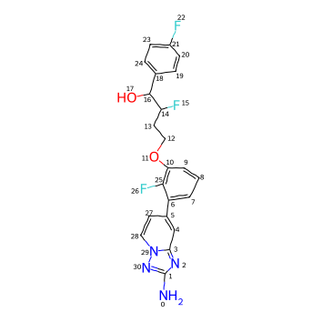 Nc1nc2cc(-c3cccc(OCCC(F)C(O)c4ccc(F)cc4)c3F)ccn2n1